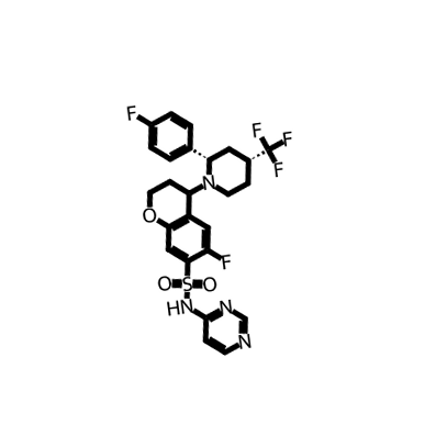 O=S(=O)(Nc1ccncn1)c1cc2c(cc1F)C(N1CC[C@@H](C(F)(F)F)C[C@H]1c1ccc(F)cc1)CCO2